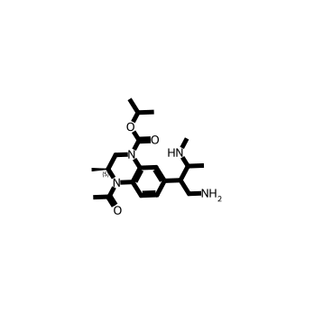 CNC(C)C(CN)c1ccc2c(c1)N(C(=O)OC(C)C)C[C@H](C)N2C(C)=O